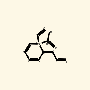 C=CCC1C=CC=C[N+]1(C=C)C(=C)C